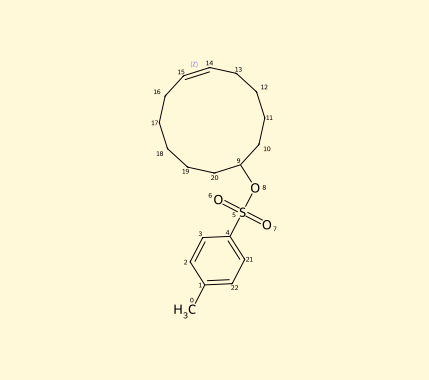 Cc1ccc(S(=O)(=O)OC2CCCC/C=C\CCCCC2)cc1